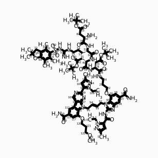 CCn1nc(C)cc1C(=O)Nc1nc2cc(C(N)=O)cc(OCCCNC(=O)[C@H](CC(=O)OC(C)(C)C)NC(=O)[C@H](CC(=O)OC(C)(C)C)NC(=O)[C@H](CCCNC(=N)NS(=O)(=O)c3c(C)c(C)c4c(c3C)CC(C)(C)O4)NC(=O)[C@@H](N)CC(=O)OC(C)(C)C)c2n1C/C=C/Cn1c2nc(-c3cc(C)nn3CC)ncc2c2cc(C(N)=O)cc(OCCCOC)c21